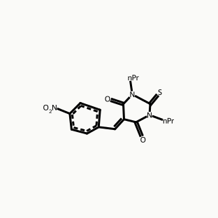 CCCN1C(=O)C(=Cc2ccc([N+](=O)[O-])cc2)C(=O)N(CCC)C1=S